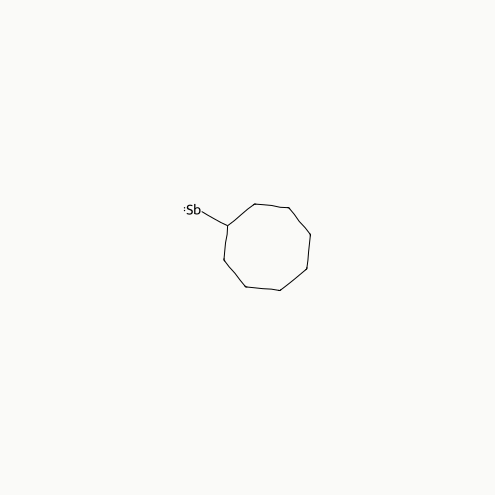 [Sb][CH]1CCCCCCC1